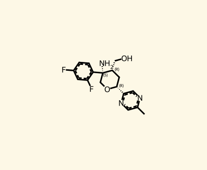 Cc1cnc([C@H]2C[C@@H](CO)[C@](N)(c3ccc(F)cc3F)CO2)cn1